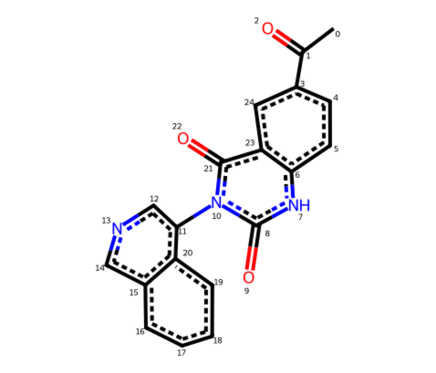 CC(=O)c1ccc2[nH]c(=O)n(-c3cncc4ccccc34)c(=O)c2c1